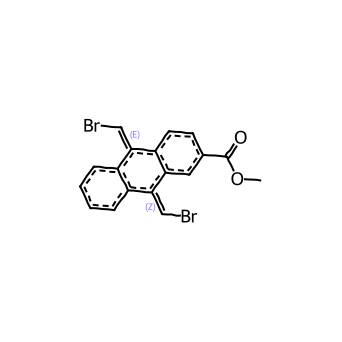 COC(=O)c1ccc2/c(=C/Br)c3ccccc3/c(=C/Br)c2c1